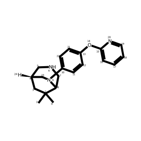 CC1(C)C[C@@H]2CNCC1N(c1ccc(Oc3ccccn3)cc1)C2